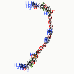 C/C(=C\c1cc(F)c(Oc2ccc([S+]([O-])NCCOCCOCCOCCn3cc(COCc4cn(CCOCCOCCOCCNS(=O)(=O)c5ccc(Oc6c(F)cc(/C=C(\C)C(=O)N=C(N)N)cc6F)cc5)nn4)nn3)cc2)c(F)c1)C(=O)N=C(N)N